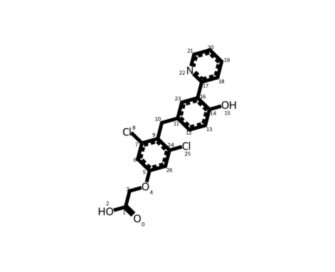 O=C(O)COc1cc(Cl)c(Cc2ccc(O)c(-c3ccccn3)c2)c(Cl)c1